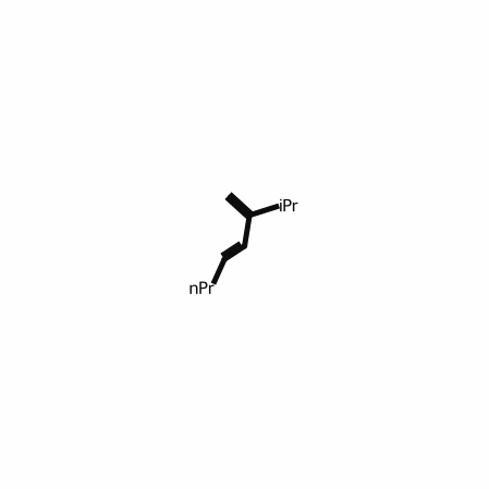 C=C(C=CCCC)C(C)C